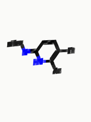 CCCCCCN=c1ccc(CC)c(C(C)=O)[nH]1